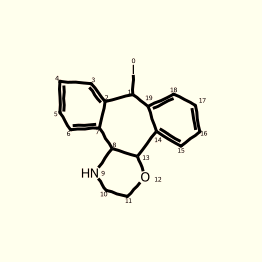 IC1c2ccccc2C2NCCOC2c2ccccc21